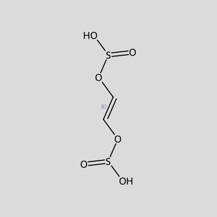 O=S(O)O/C=C/OS(=O)O